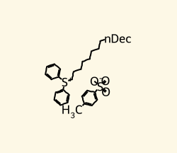 CCCCCCCCCCCCCCCCCC[S+](c1ccccc1)c1ccccc1.Cc1ccc(S(=O)(=O)[O-])cc1